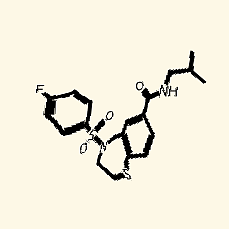 CC(C)CNC(=O)c1ccc2c(c1)N(S(=O)(=O)c1ccc(F)cc1)CCS2